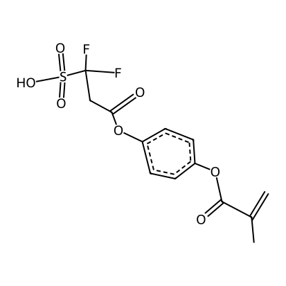 C=C(C)C(=O)Oc1ccc(OC(=O)CC(F)(F)S(=O)(=O)O)cc1